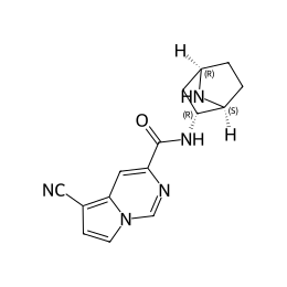 N#Cc1ccn2cnc(C(=O)N[C@@H]3C[C@H]4CC[C@@H]3N4)cc12